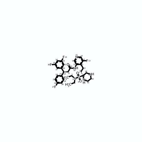 CCN(CC)S(=O)(=O)[C@@]1(CCc2c(F)cncc2NC(=O)C[C@@H](c2ccc(F)cc2)c2cc(F)cc(F)c2)CNCCN1